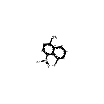 Nc1ccc([N+](=O)[O-])c2c(F)cccc12